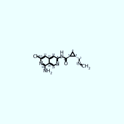 C=NC[C@H]1C[C@@H]1C(=O)Nc1cc2cc(Cl)nc(N)c2cn1